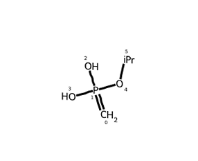 C=P(O)(O)OC(C)C